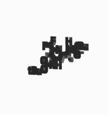 C[C@@H](N[S@@+]([O-])C(C)(C)C)c1cc(NC(=O)OC(C)(C)C)cc(C(F)F)n1